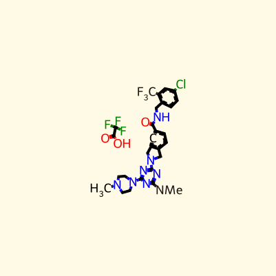 CNc1nc(N2CCN(C)CC2)nc(N2Cc3ccc(C(=O)NCc4ccc(Cl)cc4C(F)(F)F)cc3C2)n1.O=C(O)C(F)(F)F